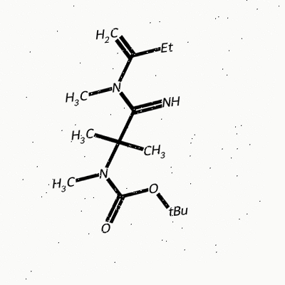 C=C(CC)N(C)C(=N)C(C)(C)N(C)C(=O)OC(C)(C)C